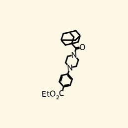 CCOC(=O)c1ccc(N2CCN(C(=O)C34CC5CC(CC(C5)C3)C4)CC2)cc1